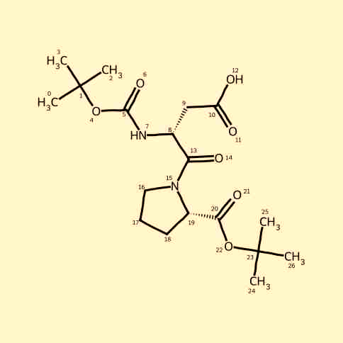 CC(C)(C)OC(=O)N[C@H](CC(=O)O)C(=O)N1CCC[C@H]1C(=O)OC(C)(C)C